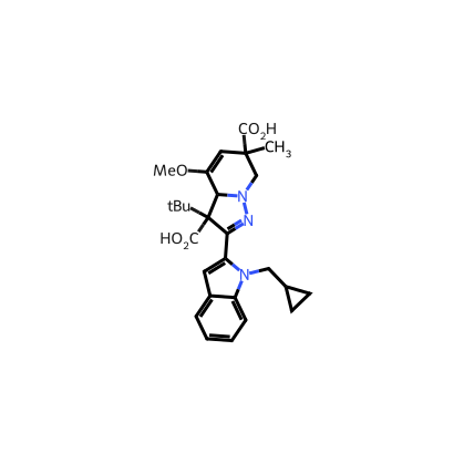 COC1=CC(C)(C(=O)O)CN2N=C(c3cc4ccccc4n3CC3CC3)C(C(=O)O)(C(C)(C)C)C12